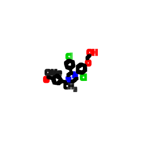 COC(=O)c1ccc([C@@H](C)N2CCN(c3ccc(OCCO)cc3Cl)[C@H](c3ccc(Cl)cc3)C2)cc1